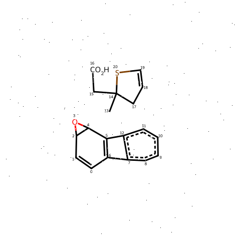 C1=CC2OC2C2=C1c1ccccc12.CC1(CC(=O)O)CC=CS1